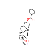 C[C@]12CC[C@@H]3c4ccc(OC(=O)c5ccccc5)cc4CC[C@H]3[C@@H]1CC[C@@]2(O)/C=C\I